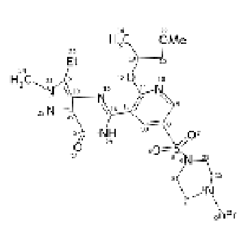 CCCN1CCN(S(=O)(=O)c2cnc(OC(C)COC)c(-c3nc4c(CC)n(C)nc4c(=O)[nH]3)c2)CC1